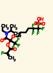 C=C(F)C(=O)OC(OCCCCC(F)(F)C(F)(F)S(=O)(=O)O)(C(=O)N(CC)C(C)C)C(F)(F)F